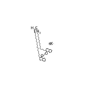 CCCCCCCCCCCCCCCCCCc1ccc2ccccc2c1OCCOc1c(CCCCCCCCCCCCCCCCCC)ccc2ccccc12.[K].[K]